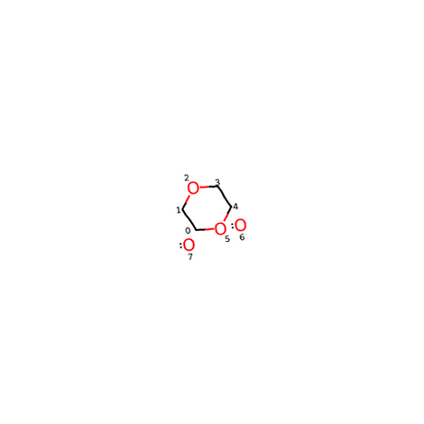 C1COCCO1.[O].[O]